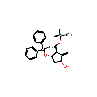 C=C1C(CO[Si](C)(C)C(C)(C)C)[C@@H](O[Si](c2ccccc2)(c2ccccc2)C(C)(C)C)C[C@H]1O